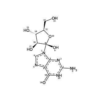 Nc1nc2c(ncn2[C@@]2(O)O[C@H](CO)[C@@H](O)[C@@H]2O)c(=O)[nH]1